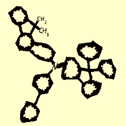 CC1(C)c2ccccc2-c2ccc3cc(N(c4ccc(-c5ccccc5)cc4)c4ccc5c(c4)-c4ccccc4C5(c4ccccc4)c4ccccc4)ccc3c21